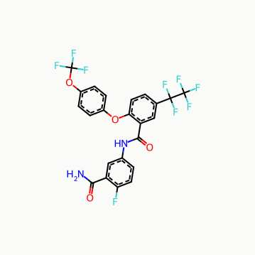 NC(=O)c1cc(NC(=O)c2cc(C(F)(F)C(F)(F)F)ccc2Oc2ccc(OC(F)(F)F)cc2)ccc1F